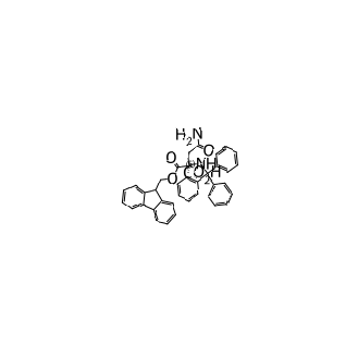 NC(=O)C[C@](NC(c1ccccc1)(c1ccccc1)c1ccccc1)(C(=O)O)C(=O)OCC1c2ccccc2-c2ccccc21